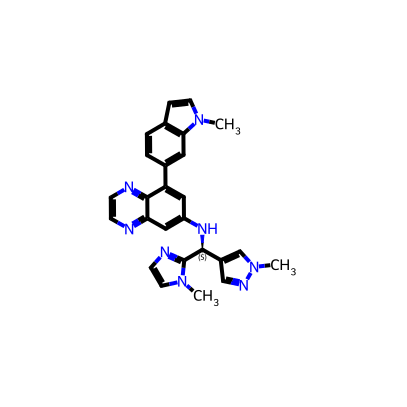 Cn1cc([C@H](Nc2cc(-c3ccc4ccn(C)c4c3)c3nccnc3c2)c2nccn2C)cn1